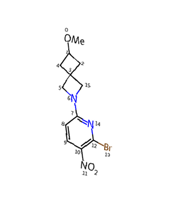 COC1CC2(C1)CN(c1ccc([N+](=O)[O-])c(Br)n1)C2